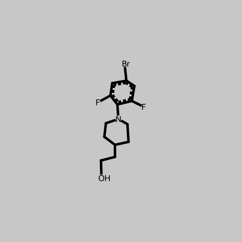 OCCC1CCN(c2c(F)cc(Br)cc2F)CC1